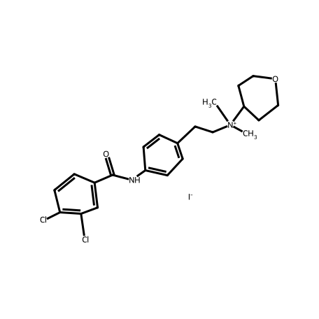 C[N+](C)(CCc1ccc(NC(=O)c2ccc(Cl)c(Cl)c2)cc1)C1CCOCC1.[I-]